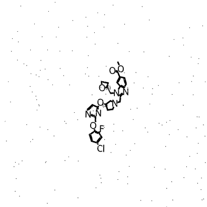 COC(=O)c1ccc2nc(CN3CC[C@H](Oc4ccnc(COc5ccc(Cl)cc5F)n4)C3)n(C[C@@H]3CCO3)c2c1